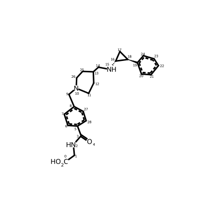 O=C(O)CNC(=O)c1ccc(CN2CCC(CN[C@@H]3C[C@H]3c3ccccc3)CC2)cc1